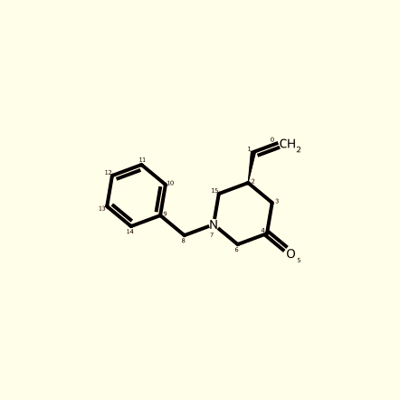 C=C[C@H]1CC(=O)CN(Cc2ccccc2)C1